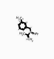 C=C(C)N(CCC)Cc1cccc(C)c1